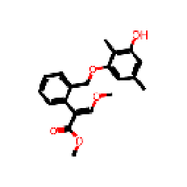 CO/C=C(/C(=O)OC)c1ccccc1COc1cc(C)cc(O)c1C